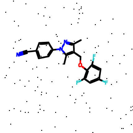 Cc1nn(-c2ccc(C#N)cc2)c(C)c1COc1c(F)cc(F)cc1F